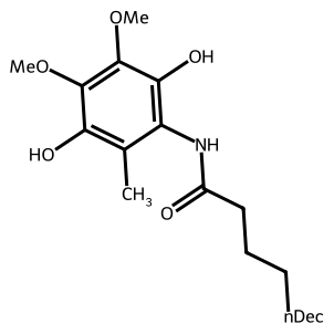 CCCCCCCCCCCCCC(=O)Nc1c(C)c(O)c(OC)c(OC)c1O